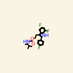 CC(C)C(C)NC(=O)OCCc1c(-c2ccc(F)cc2)[nH]c2c(F)cc(F)cc12